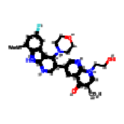 CNc1cc(F)cc2c1[nH]c1ncc(-c3cnc4c(c3)c(=O)c(C(=O)O)cn4CCO)c(N3CCOCC3)c12